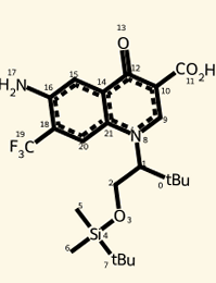 CC(C)(C)C(CO[Si](C)(C)C(C)(C)C)n1cc(C(=O)O)c(=O)c2cc(N)c(C(F)(F)F)cc21